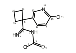 N=C(NC(=O)Cl)C1(c2ccc(Cl)nc2)CCC1